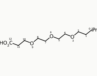 CC(C)CCOCCOCCOCCC(=O)O